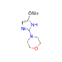 COc1cnc(N2CCOCC2)[nH]1